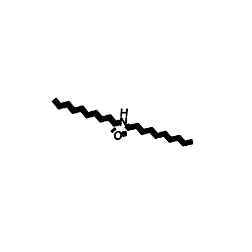 CCCCCCCCCCNCCCCCCCCCC.COC